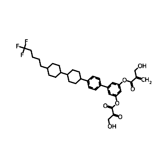 C=C(CO)C(=O)Oc1cc(OC(=O)C(=O)CO)cc(-c2ccc(C3CCC(C4CCC(CCCCC(F)(F)F)CC4)CC3)cc2)c1